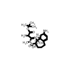 CN1C(C(N)C(=O)OC(C)(C)C)=N[C@@]2(C)[C@@H](CCCC3=CC=C(N)CC32C)S1(=O)=O